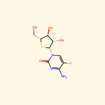 Nc1nc(=O)n([C@@H]2S[C@H](CO)[C@@H](O)[C@@H]2O)cc1F